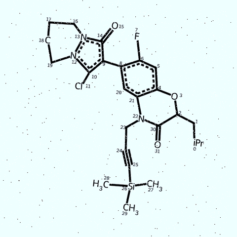 CC(C)CC1Oc2cc(F)c(-c3c(Cl)n4n(c3=O)CCCC4)cc2N(CC#C[Si](C)(C)C)C1=O